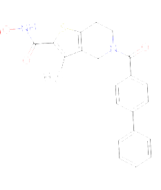 Cc1c(C(=O)NO)sc2c1CN(C(=O)c1ccc(-c3ccccc3)cc1)CC2